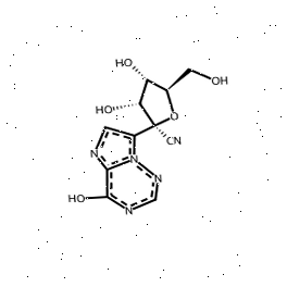 N#C[C@@]1(c2cnc3c(O)ncnn23)O[C@H](CO)[C@@H](O)[C@H]1O